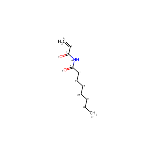 C=CC(=O)NC(=O)CCCCCCC